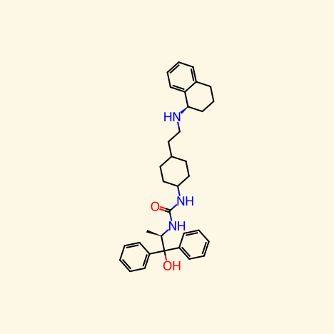 C[C@@H](NC(=O)NC1CCC(CCN[C@@H]2CCCc3ccccc32)CC1)C(O)(c1ccccc1)c1ccccc1